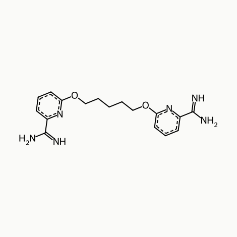 N=C(N)c1cccc(OCCCCCOc2cccc(C(=N)N)n2)n1